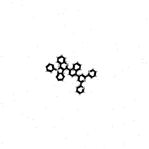 c1ccc(-n2c3ccccc3c3c(-c4ccc(-c5cc(-c6ccccn6)nc(-c6ccccn6)c5)c5ccccc45)nc4ccccc4c32)cc1